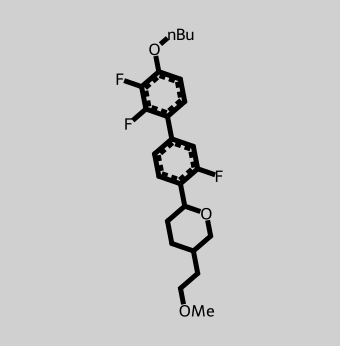 CCCCOc1ccc(-c2ccc(C3CCC(CCOC)CO3)c(F)c2)c(F)c1F